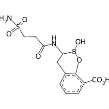 NS(=O)(=O)CCC(=O)NC1Cc2cccc(C(=O)O)c2OB1O